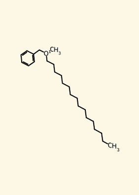 CCCCCCCCCCCCCCCC[O+](C)Cc1ccccc1